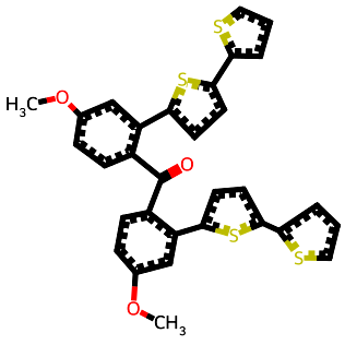 COc1ccc(C(=O)c2ccc(OC)cc2-c2ccc(-c3cccs3)s2)c(-c2ccc(-c3cccs3)s2)c1